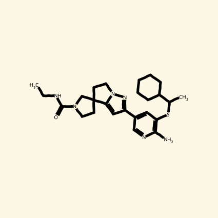 CCNC(=O)N1CCC2(CCn3nc(-c4cnc(N)c(SC(C)C5CCCCC5)c4)cc32)C1